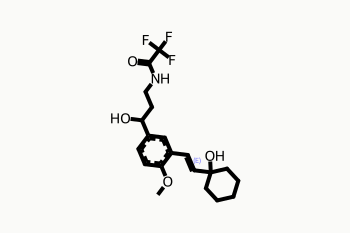 COc1ccc(C(O)CCNC(=O)C(F)(F)F)cc1/C=C/C1(O)CCCCC1